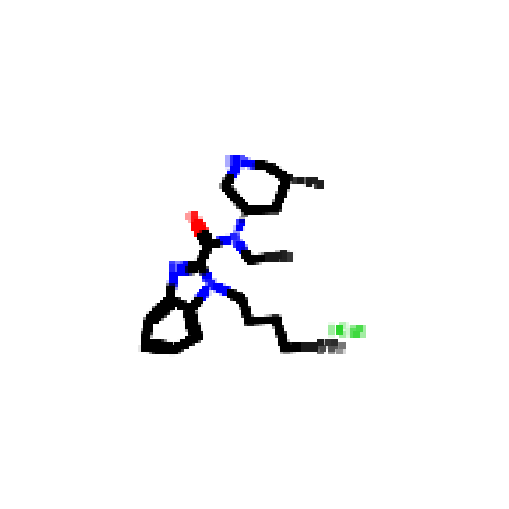 COCCCCn1c(C(=O)N(CC(C)C)[C@@H]2CNC[C@H](C(C)=O)C2)nc2ccccc21.Cl.Cl